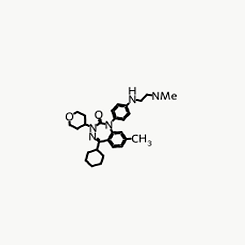 CNCCNc1ccc(N2C(=O)N(C3CCOCC3)N=C(C3CCCCC3)c3ccc(C)cc32)cc1